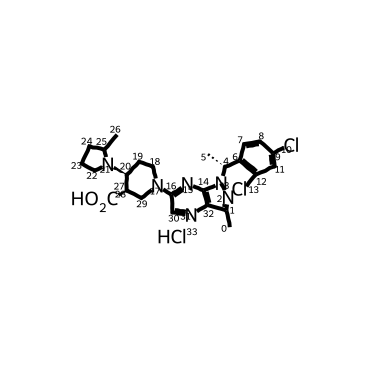 Cc1nn([C@H](C)c2ccc(Cl)cc2Cl)c2nc(N3CC[C@H](N4CCCC4C)[C@H](C(=O)O)C3)cnc12.Cl